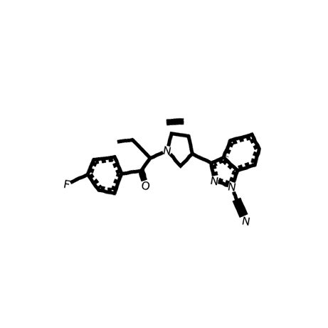 C=C.CCC(C(=O)c1ccc(F)cc1)N1CCC(c2nn(C#N)c3ccccc23)C1